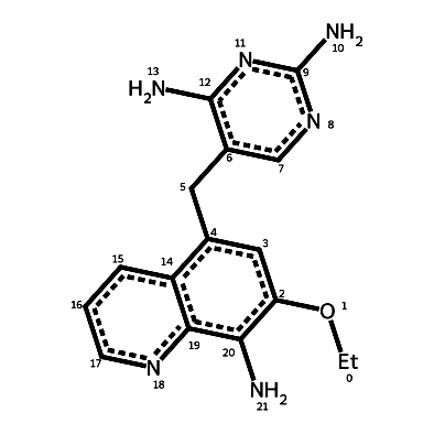 CCOc1cc(Cc2cnc(N)nc2N)c2cccnc2c1N